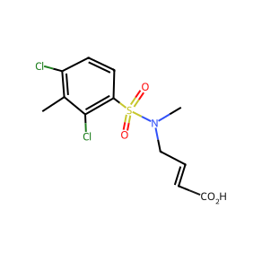 Cc1c(Cl)ccc(S(=O)(=O)N(C)C/C=C/C(=O)O)c1Cl